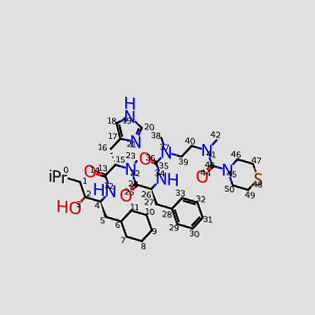 CC(C)C[C@H](O)[C@H](CC1CCCCC1)NC(=O)[C@H](Cc1c[nH]cn1)N(C)C(=O)[C@H](Cc1ccccc1)NC(=O)N(C)CCN(C)C(=O)N1CCSCC1